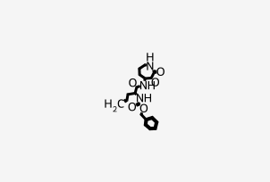 C=CCC(NC(=O)OCc1ccccc1)C(=O)NC1CCCNC(=O)C1=O